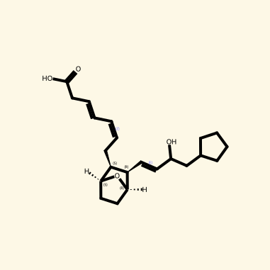 O=C(O)CC=C/C=C\C[C@H]1[C@@H](/C=C/C(O)CC2CCCC2)[C@H]2CC[C@@H]1O2